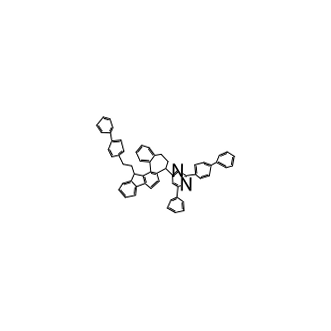 c1ccc(-c2ccc(CCC3c4ccccc4-c4ccc5c(c43)-c3ccccc3CCC5c3cc(-c4ccccc4)nc(-c4ccc(-c5ccccc5)cc4)n3)cc2)cc1